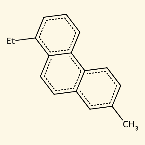 CCc1cccc2c1ccc1cc(C)ccc12